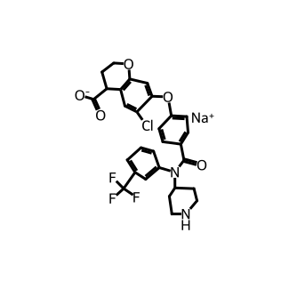 O=C([O-])C1CCOc2cc(Oc3ccc(C(=O)N(c4cccc(C(F)(F)F)c4)C4CCNCC4)cc3)c(Cl)cc21.[Na+]